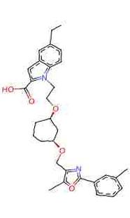 CCc1ccc2c(c1)cc(C(=O)O)n2CCO[C@@H]1CCC[C@H](OCc2nc(-c3cccc(C)c3)oc2C)C1